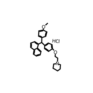 COc1ccc(C(c2ccc(OCCN3CCCCC3)cc2)c2cccc3ccccc23)cc1.Cl